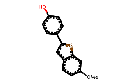 COc1ccc2cc(-c3ccc(O)cc3)sc2c1